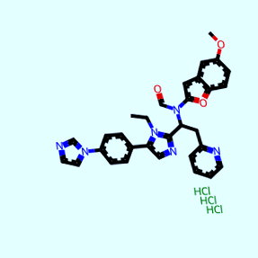 CCn1c(-c2ccc(-n3ccnc3)cc2)cnc1C(Cc1ccccn1)N(C=O)c1cc2cc(OC)ccc2o1.Cl.Cl.Cl